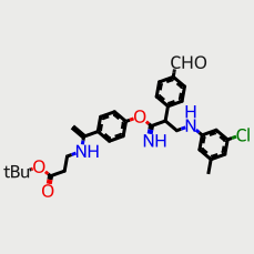 C=C(NCCC(=O)OC(C)(C)C)c1ccc(OC(=N)C(CNc2cc(C)cc(Cl)c2)c2ccc(C=O)cc2)cc1